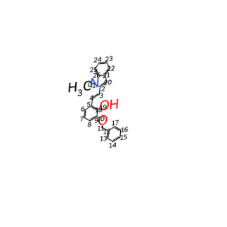 Cn1c(/C=C/c2cccc(OCc3ccccc3)c2O)cc2ccccc21